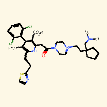 CCN(CC)CC1(CCN2CCN(C(=O)CC3=C(C(=O)O)C(c4c(Cl)cccc4Cl)C(C(=O)O)=C(CCc4nccs4)N3)CC2)CCCC1